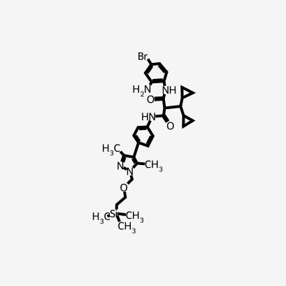 Cc1nn(COCC[Si](C)(C)C)c(C)c1-c1ccc(NC(=O)C(C(=O)Nc2ccc(Br)cc2N)C(C2CC2)C2CC2)cc1